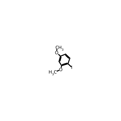 COc1ccc(I)c(OC)c1